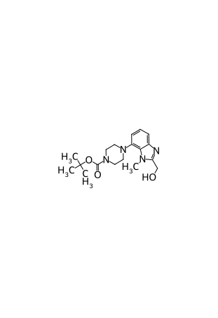 Cn1c(CO)nc2cccc(N3CCN(C(=O)OC(C)(C)C)CC3)c21